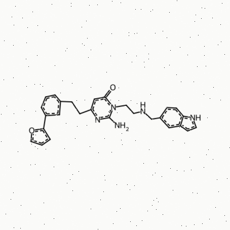 Nc1nc(CCc2cccc(-c3ccco3)c2)cc(=O)n1CCNCc1ccc2[nH]ccc2c1